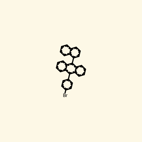 Brc1ccc(-c2c3ccccc3c(-c3cccc4ccccc34)c3ccccc23)cc1